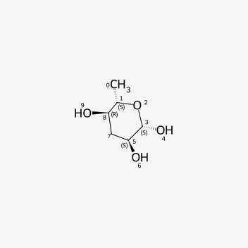 C[C@@H]1O[C@H](O)[C@@H](O)C[C@H]1O